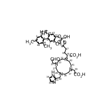 Cc1cc(C)c(-c2cc(C)c(OP(=O)(O)OCCC[C@H](C(=O)O)N3CCN(CC=O)CCN(Cc4ncc[nH]4)CCN(CC(=O)O)CC3)cc2C)c(C)c1